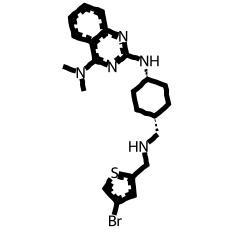 CN(C)c1nc(N[C@H]2CC[C@@H](CNCc3cc(Br)cs3)CC2)nc2ccccc12